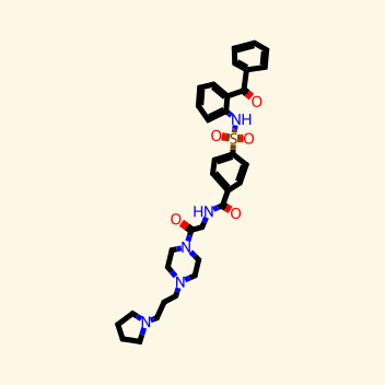 O=C(NCC(=O)N1CCN(CCCN2CCCC2)CC1)c1ccc(S(=O)(=O)Nc2ccccc2C(=O)c2ccccc2)cc1